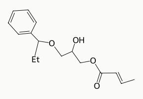 CC=CC(=O)OCC(O)COC(CC)c1ccccc1